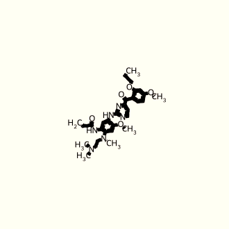 C=CC(=O)Nc1cc(Nc2nccc(C(=O)c3ccc(OC)cc3OCCC)n2)c(OC)cc1N(C)CCN(C)C